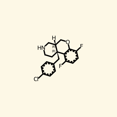 Fc1ccc(F)c2c1OC[C@H]1CNCC[C@@]21Cc1ccc(Cl)cc1